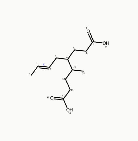 C/C=C/CC(CCC(=O)O)C(C)CCC(=O)O